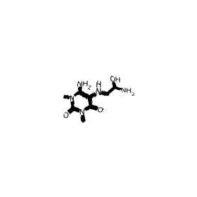 Cn1c(N)c(NCC(N)O)c(=O)n(C)c1=O